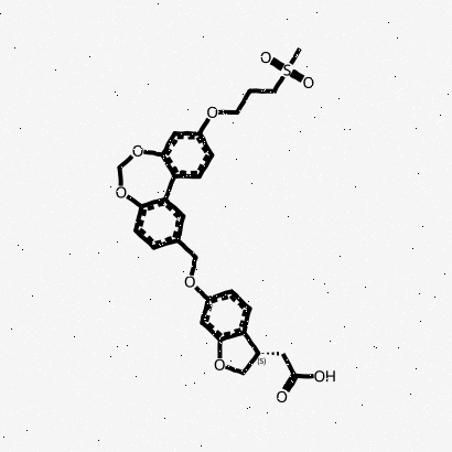 CS(=O)(=O)CCCOc1ccc2c(c1)OCOc1ccc(COc3ccc4c(c3)OC[C@H]4CC(=O)O)cc1-2